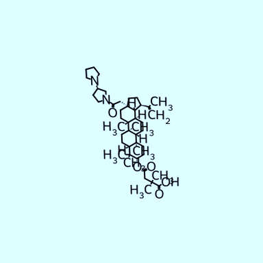 C=C(C)[C@@H]1CC[C@]2(CC(=O)N3CC[C@@H](N4CCCC4)C3)CC[C@]3(C)[C@H](CC[C@@H]4[C@@]5(C)CC[C@H](OC(=O)CC(C)(C)C(=O)O)C(C)(C)[C@@H]5CC[C@]43C)[C@@H]12